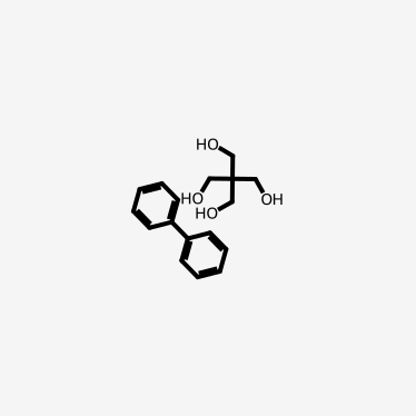 OCC(CO)(CO)CO.c1ccc(-c2ccccc2)cc1